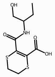 CCC(CO)NC(=O)C1=C(C(=O)O)SCCS1